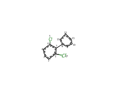 Clc1[c]ccc(Cl)c1-c1ccccc1